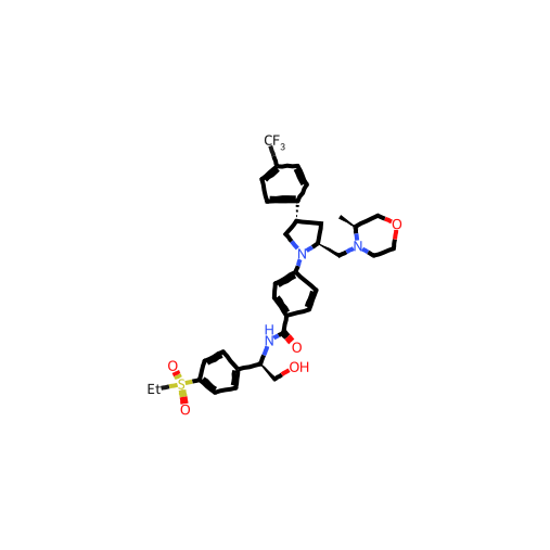 CCS(=O)(=O)c1ccc([C@H](CO)NC(=O)c2ccc(N3C[C@H](c4ccc(C(F)(F)F)cc4)C[C@H]3CN3CCOC[C@@H]3C)cc2)cc1